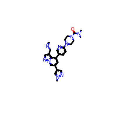 C=NCc1cnn2cc(-c3cnn(C)c3)cc(-c3ccc(N4CCN(C(=O)N(C)C)CC4)nc3)c12